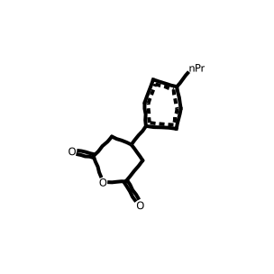 CCCc1ccc(C2CC(=O)OC(=O)C2)cc1